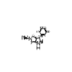 N#CN1Cc2[nH]nc(-c3ccccc3)c2C1